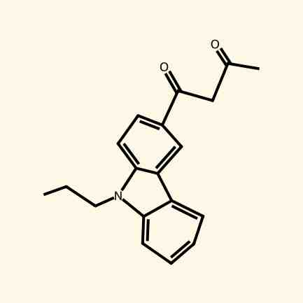 CCCn1c2ccccc2c2cc(C(=O)CC(C)=O)ccc21